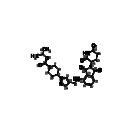 CC(C)OC(=O)N1CCC(n2cc(CNc3cccc4c3C(=O)N(C3CCC(=O)NC3=O)C4=O)cn2)CC1